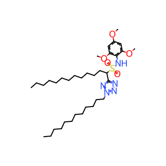 CCCCCCCCCCCCC(c1nnn(CCCCCCCCCCCC)n1)S(=O)(=O)Nc1c(OC)cc(OC)cc1OC